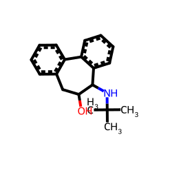 CC(C)(C)NC1c2ccccc2-c2ccccc2CC1O